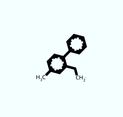 [CH2]Cc1cc(C)ccc1-c1ccccc1